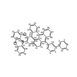 c1ccc(-c2cccc(-c3c4ccccc4c(-c4ccccc4-c4cccc5c4Oc4cccc6c4B5c4ccccc4O6)c4ccccc34)c2)cc1